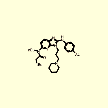 CCCCN(C(=O)CC(C)(C)C)c1ccc2nc(Nc3ccc(C(C)=O)cc3)n(CCCN3CCCCC3)c2n1